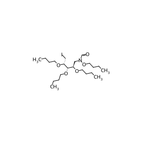 CCCCO[C@H]([C@@H](CI)OCCCC)[C@@H](CN(C=O)OCCCC)OCCCC